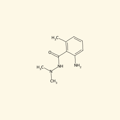 Cc1cccc(N)c1C(=O)NN(C)C